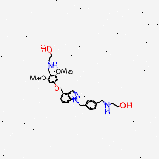 COc1cc(OCc2cccc3c2cnn3Cc2ccc(CNCCO)cc2)cc(OC)c1CNCCO